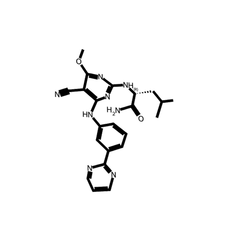 COc1nc(N[C@H](CC(C)C)C(N)=O)nc(Nc2cccc(-c3ncccn3)c2)c1C#N